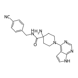 N#Cc1ccc(CNC(=O)C2(N)CCN(c3ncnc4[nH]ccc34)CC2)cc1